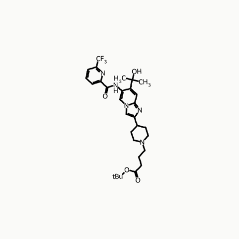 CC(C)(C)OC(=O)CCCN1CCC(c2cn3cc(NC(=O)c4cccc(C(F)(F)F)n4)c(C(C)(C)O)cc3n2)CC1